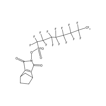 O=C1C2=C(C(=O)N1OS(=O)(=O)C(F)(F)C(F)(F)C(F)(F)C(F)(F)C(F)(F)C(F)(F)C(F)(F)C(F)(F)F)C1CCC2C1